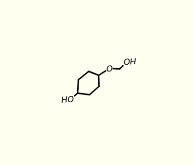 OCOC1CCC(O)CC1